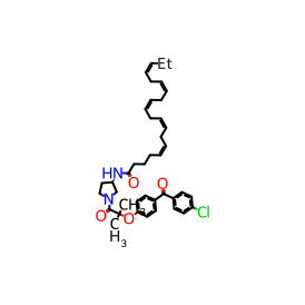 CC/C=C\C/C=C\C/C=C\C/C=C\C/C=C\CCCC(=O)N[C@H]1CCN(C(=O)C(C)(C)Oc2ccc(C(=O)c3ccc(Cl)cc3)cc2)C1